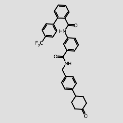 O=C1CCC(c2ccc(CNC(=O)c3cccc(NC(=O)c4ccccc4-c4ccc(C(F)(F)F)cc4)c3)cc2)CC1